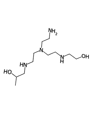 CC(O)CNCCN(CCN)CCNCCO